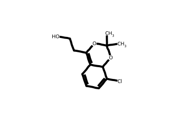 CC1(C)OC(CCO)=C2C=CC=C(Cl)C2O1